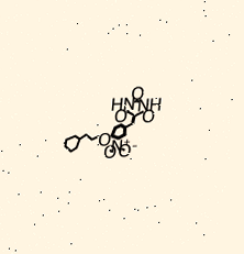 O=C1NC(=O)C(=Cc2ccc(OCCCC3CCCCC3)c([N+](=O)[O-])c2)C(=O)N1